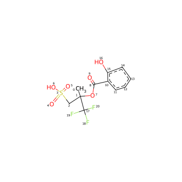 CC(CS(=O)(=O)O)(OC(=O)c1ccccc1O)C(F)(F)F